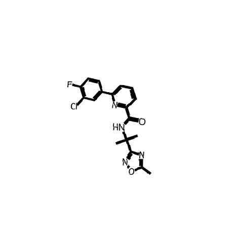 Cc1nc(C(C)(C)NC(=O)c2cccc(-c3ccc(F)c(Cl)c3)n2)no1